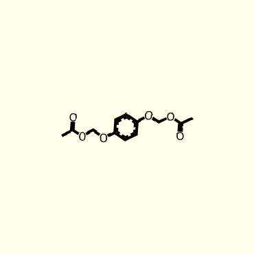 CC(=O)OCOc1ccc(OCOC(C)=O)cc1